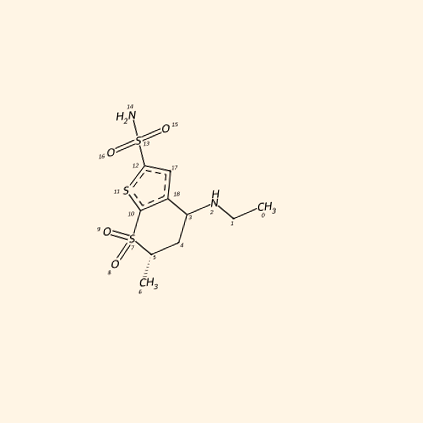 CCNC1C[C@H](C)S(=O)(=O)c2sc(S(N)(=O)=O)cc21